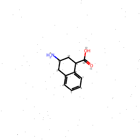 NC1Cc2ccccc2C(C(=O)O)C1